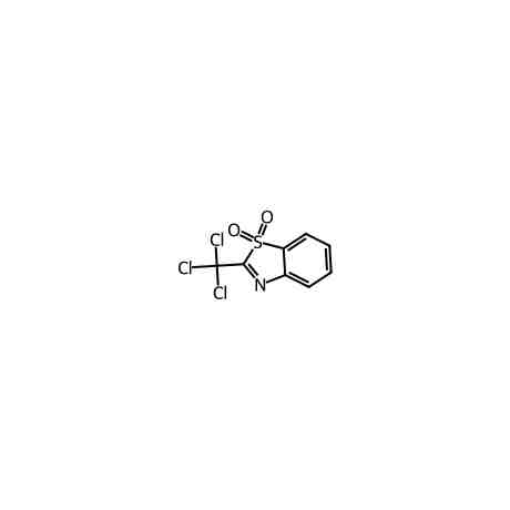 O=S1(=O)C(C(Cl)(Cl)Cl)=Nc2ccccc21